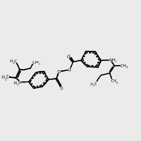 CCC(C)=C(C)[SiH2]c1ccc(C(=O)OOC(=O)c2ccc([SiH2]C(C)=C(C)CC)cc2)cc1